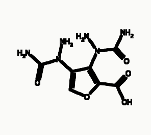 NC(=O)N(N)c1coc(C(=O)O)c1N(N)C(N)=O